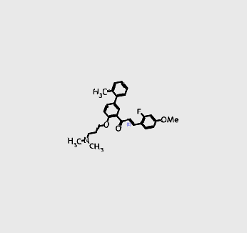 COc1ccc(/C=C/C(=O)c2cc(-c3ccccc3C)ccc2OCCCN(C)C)c(F)c1